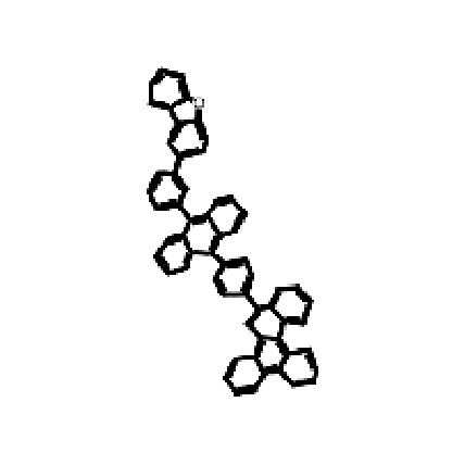 c1cc(-c2ccc3oc4ccccc4c3c2)cc(-c2c3ccccc3c(-c3ccc(-c4cc5c6ccccc6c6ccccc6c5c5ccccc45)cc3)c3ccccc23)c1